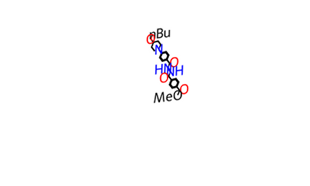 CCCCOC1CCN(c2ccc(C(=O)NNC(=O)c3ccc(C(=O)OC)cc3)cc2)CC1